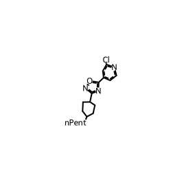 CCCCCC1CCC(c2noc(-c3ccnc(Cl)c3)n2)CC1